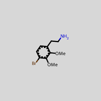 COc1c(Br)ccc(CCN)c1OC